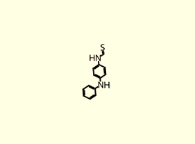 S=CNc1ccc(Nc2ccccc2)cc1